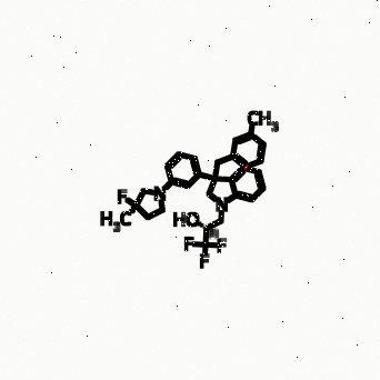 Cc1cccc(CC2(c3cccc(N4CCC(C)(F)C4)c3)CN(C[C@@H](O)C(F)(F)F)c3ccccc32)c1